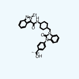 CCn1nc2ccccc2c1C(=O)NC1CCC(Cn2c(=O)n(-c3ccc([C@@H](C)O)cc3)c3ccccc32)CC1